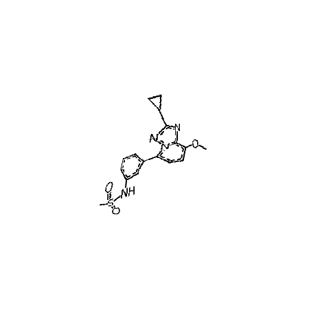 COc1ccc(-c2cccc(NS(C)(=O)=O)c2)n2nc(C3CC3)nc12